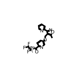 Cc1onc(-c2ccccn2)c1COc1ccc(C(=O)N[C@@](C)(F)C(F)F)nc1